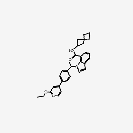 CCOc1cc(-c2ccc([C@@H](C)n3ncc4cccc(C(=O)NC5CC6(CCC6)C5)c43)cc2)ccn1